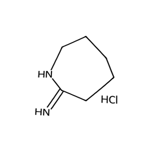 Cl.N=C1CCCCCN1